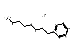 CCCCCCCC[n+]1ccccc1.[I-]